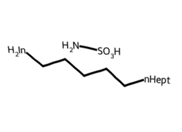 CCCCCCCCCCC[CH2][InH2].NS(=O)(=O)O